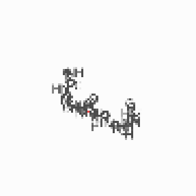 O=C(NNc1ncc(F)c(N2CCOCC2)n1)c1ccc(Nc2cccc(N3CC(C4COCCN4c4nc(NNC(=O)c5ccc(Nc6cc(Cl)cc(N7CCCN7)c6)cn5)ncc4F)CCN3)c2)cn1